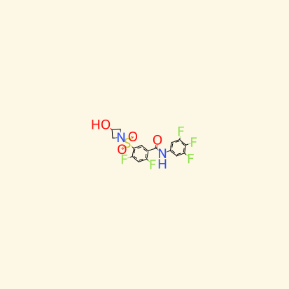 O=C(Nc1cc(F)c(F)c(F)c1)c1cc(S(=O)(=O)N2CC(O)C2)c(F)cc1F